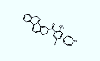 C1=CC=CNC=C1.O=C(c1cc(F)ccc1C(F)(F)F)C1C=c2c(ccc3c2=CCc2ccccc2-3)CC1